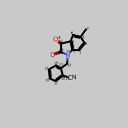 Cc1ccc2c(c1)C(=O)C(=O)N2Cc1ccccc1C#N